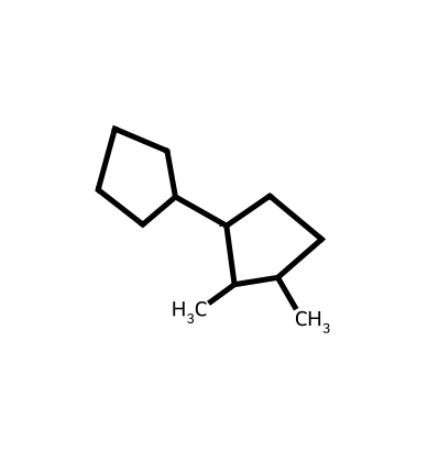 CC1CC[C](C2CCCC2)C1C